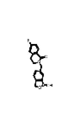 O=C1c2ccc(F)cc2CCN1Cc1ccc2c(c1)B(O)OC2